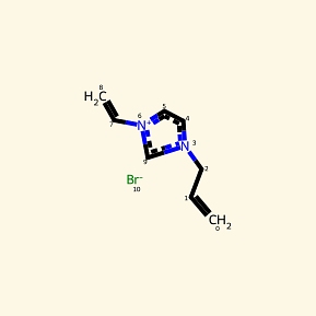 C=CCn1cc[n+](C=C)c1.[Br-]